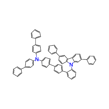 c1ccc(-c2ccc(N(c3ccc(-c4ccccc4)cc3)c3ccc(-c4ccc(-c5ccccc5-n5c6ccc(-c7ccccc7)cc6c6ccc(-c7ccccc7)cc65)cc4)cc3)cc2)cc1